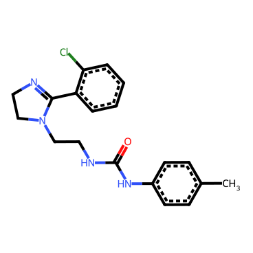 Cc1ccc(NC(=O)NCCN2CCN=C2c2ccccc2Cl)cc1